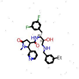 CCc1cccc(CNC[C@H](O)[C@@H](Cc2cc(F)cc(F)c2)NC(=O)C2CC(=O)N(C)C2c2cccnc2)c1